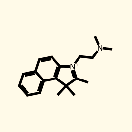 CC1=[N+](CCN(C)C)c2ccc3ccccc3c2C1(C)C